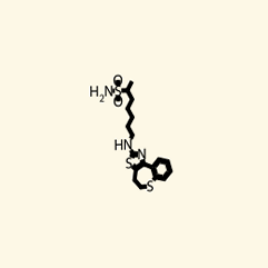 CC(CCCCCNc1nc2c(s1)CCSc1ccccc1-2)S(N)(=O)=O